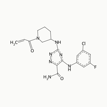 C=CC(=O)N1CCCC(Nc2nnc(C(N)=O)c(Nc3cc(F)cc(Cl)c3)n2)C1